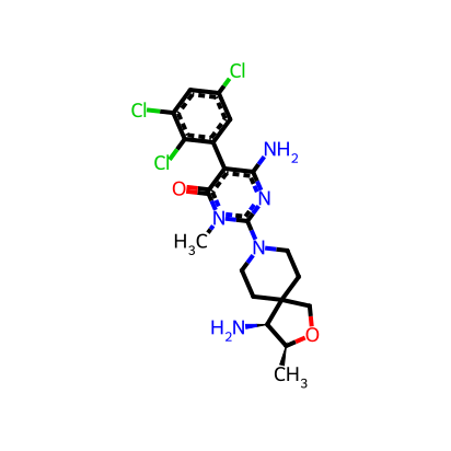 C[C@@H]1OCC2(CCN(c3nc(N)c(-c4cc(Cl)cc(Cl)c4Cl)c(=O)n3C)CC2)[C@@H]1N